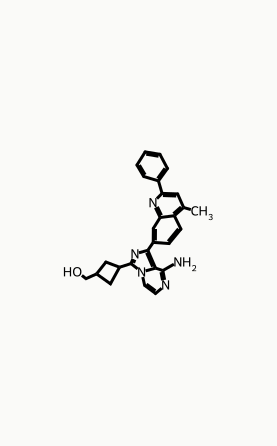 Cc1cc(-c2ccccc2)nc2cc(-c3nc(C4CC(CO)C4)n4ccnc(N)c34)ccc12